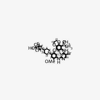 COc1cc(N2CCC(N3CC(F)(C(C)(C)O)C3)CC2)c(C)cc1Nc1ncc(Br)c(Nc2ccc3c(c2P(C)C)OCCO3)n1